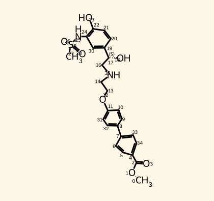 COC(=O)c1ccc(-c2ccc(OCCNC[C@@H](O)c3ccc(O)c(NS(C)(=O)=O)c3)cc2)cc1